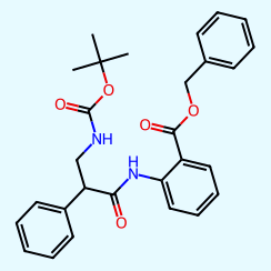 CC(C)(C)OC(=O)NCC(C(=O)Nc1ccccc1C(=O)OCc1ccccc1)c1ccccc1